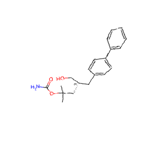 CC(C)(C[C@H](CO)Cc1ccc(-c2ccccc2)cc1)OC(N)=O